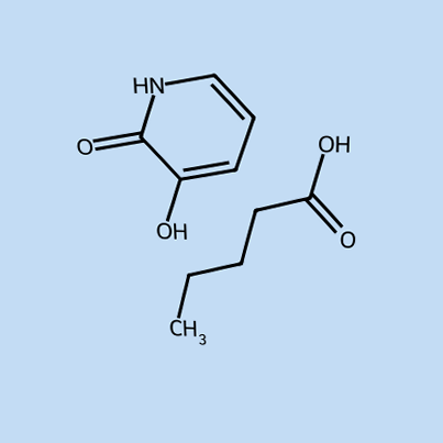 CCCCC(=O)O.O=c1[nH]cccc1O